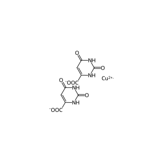 O=C([O-])c1cc(=O)[nH]c(=O)[nH]1.O=C([O-])c1cc(=O)[nH]c(=O)[nH]1.[Cu+2]